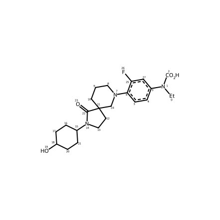 CCN(C(=O)O)c1ccc(N2CCCC3(CCN(C4CCC(O)CC4)C3=O)C2)c(F)c1